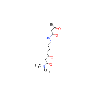 CCC(=O)CC(=O)NCCCCC(=O)CC(=O)N(C)C